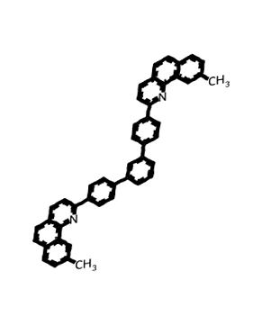 Cc1ccc2ccc3ccc(-c4ccc(-c5cccc(-c6ccc(-c7ccc8ccc9ccc(C)cc9c8n7)cc6)c5)cc4)nc3c2c1